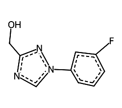 OCc1ncn(-c2cccc(F)c2)n1